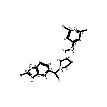 Cc1cc(OC[C@@H]2CCN(C(C)c3ccc4sc(C)nc4n3)C2)cc(C)n1